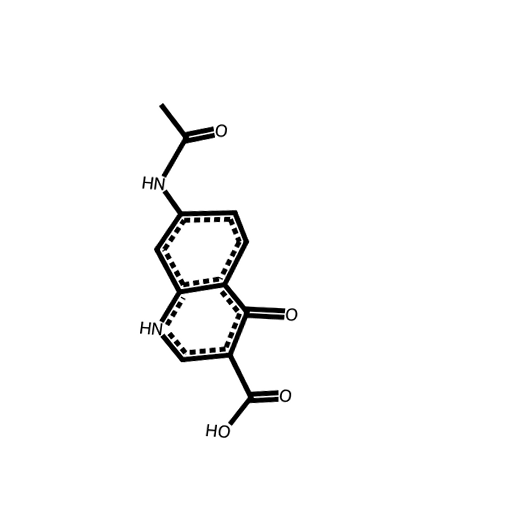 CC(=O)Nc1ccc2c(=O)c(C(=O)O)c[nH]c2c1